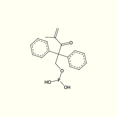 C=C(C)C(=O)C(COP(O)O)(c1ccccc1)c1ccccc1